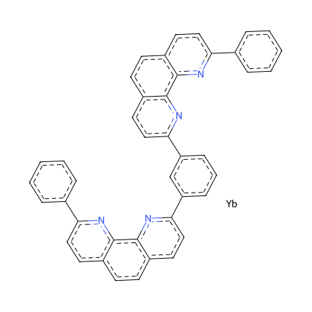 [Yb].c1ccc(-c2ccc3ccc4ccc(-c5cccc(-c6ccc7ccc8ccc(-c9ccccc9)nc8c7n6)c5)nc4c3n2)cc1